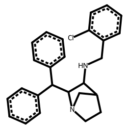 Clc1ccccc1CNC1C2CCN(C2)C1C(c1ccccc1)c1ccccc1